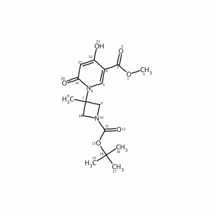 COC(=O)c1cn(C2(C)CN(C(=O)OC(C)(C)C)C2)c(=O)cc1O